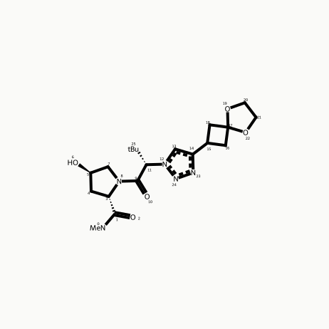 CNC(=O)[C@@H]1C[C@@H](O)CN1C(=O)[C@@H](n1cc(C2CC3(C2)OCCO3)nn1)C(C)(C)C